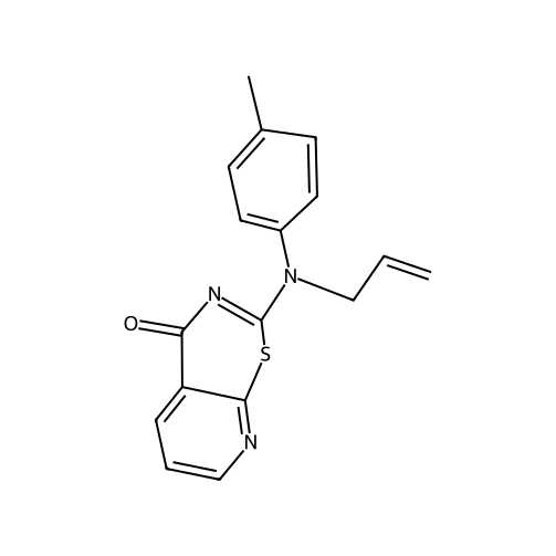 C=CCN(c1ccc(C)cc1)c1nc(=O)c2cccnc2s1